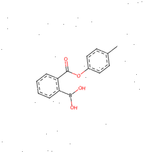 Cc1ccc(OC(=O)c2ccccc2B(O)O)cc1